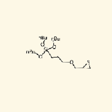 CCCCO[Si](CCCOCC1CS1)(OCCCC)OCCCC